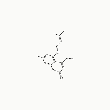 CCc1cc(=O)oc2cc(C)cc(OCC=C(C)C)c12